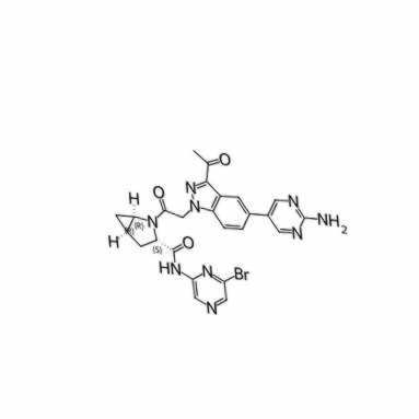 CC(=O)c1nn(CC(=O)N2[C@@H]3C[C@@H]3C[C@H]2C(=O)Nc2cncc(Br)n2)c2ccc(-c3cnc(N)nc3)cc12